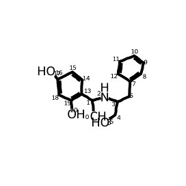 CC(NC(CO)Cc1ccccc1)c1ccc(O)cc1O